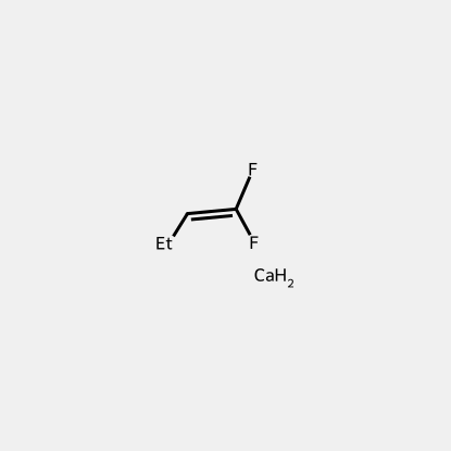 [CH2]CC=C(F)F.[CaH2]